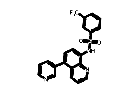 O=S(=O)(Nc1ccc(-c2cccnc2)c2cccnc12)c1cccc(C(F)(F)F)c1